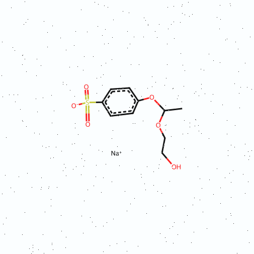 CC(OCCO)Oc1ccc(S(=O)(=O)[O-])cc1.[Na+]